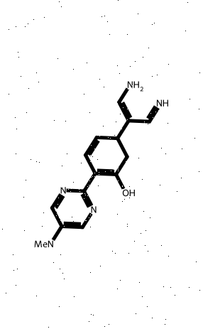 CNc1cnc(C2=C(O)CC(/C(C=N)=C/N)C=C2)nc1